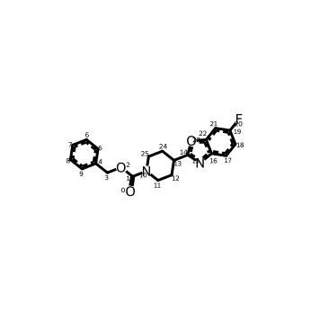 O=C(OCc1ccccc1)N1CCC(c2nc3ccc(F)cc3o2)CC1